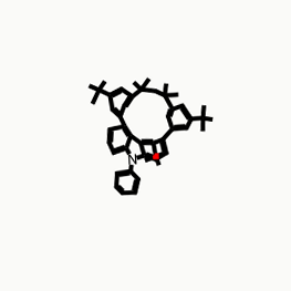 CC(C)(C)c1cc2cc(c1)C(C)(C)CC(C)(C)c1cc(cc(C(C)(C)C)c1)-c1cccc3c1c1c(C(C)(C)C)c-2ccc1n3-c1ccccc1